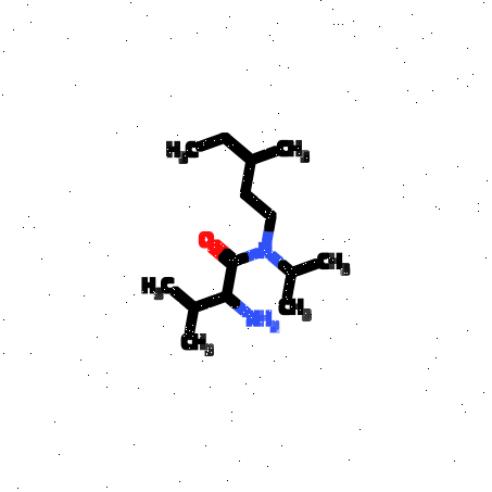 CCC(C)CCN(C(=O)C(N)C(C)C)C(C)C